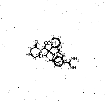 CCC(Oc1ccc(C(=N)N)cc1)C(c1ccccn1)(C(C(=O)O)N1CCNCC1=O)N1CCNCC1=O